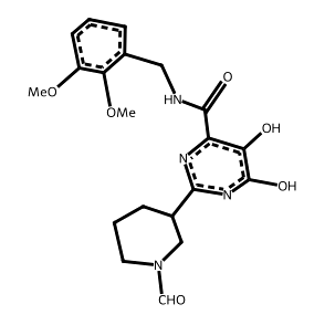 COc1cccc(CNC(=O)c2nc(C3CCCN(C=O)C3)nc(O)c2O)c1OC